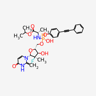 C=C1NC(=O)C=CN1[C@@H]1O[C@H](CO[PH](O)(N[C@@H](C)C(=O)OC(C)C)Oc2ccc(C#Cc3ccccc3)cc2)[C@@H](O)[C@@]1(C)F